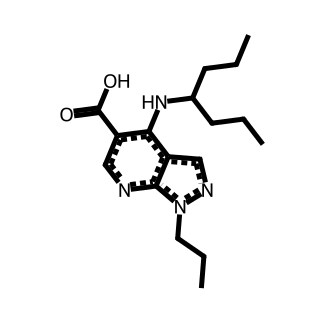 CCCC(CCC)Nc1c(C(=O)O)cnc2c1cnn2CCC